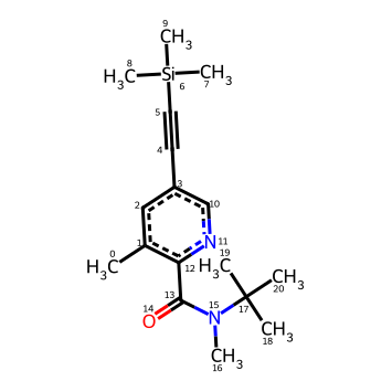 Cc1cc(C#C[Si](C)(C)C)cnc1C(=O)N(C)C(C)(C)C